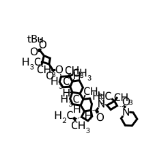 C=C(C)[C@H]1CC[C@]2(C(=O)N[C@H]3C[C@@H](C(=O)N4CCCCC4)C3(C)C)CC[C@]3(C)[C@H](CC[C@@H]4[C@@]5(C)CC[C@H](OC(=O)C6CC(C(=O)OC(C)(C)C)C6(C)C)C(C)(C)[C@@H]5CC[C@]43C)[C@@H]12